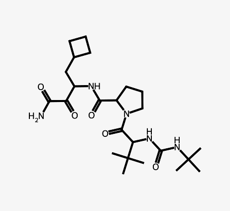 CC(C)(C)NC(=O)NC(C(=O)N1CCCC1C(=O)NC(CC1CCC1)C(=O)C(N)=O)C(C)(C)C